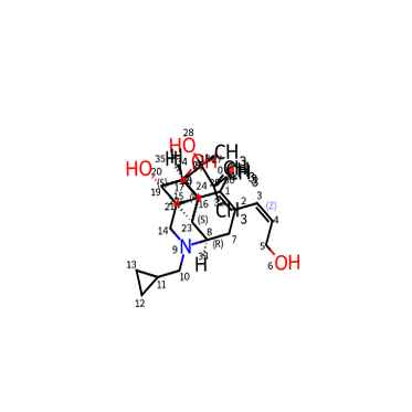 CC1=C(/C=C\CO)C[C@H]2N(CC3CC3)CC[C@@]13[C@@H](O)[C@]1(O)CC[C@@]23C[C@@H]1[C@](C)(O)C(C)(C)C